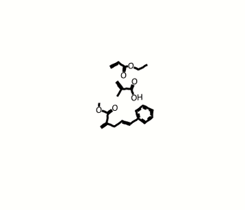 C=C(C)C(=O)O.C=C(CC=Cc1ccccc1)C(=O)OC.C=CC(=O)OCC